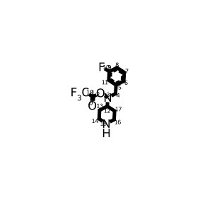 O=C(ON(Cc1cccc(F)c1)C1CCNCC1)C(F)(F)F